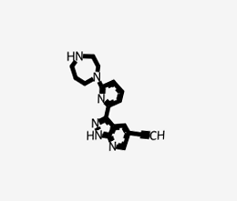 C#Cc1cnc2[nH]nc(-c3cccc(N4CCCNCC4)n3)c2c1